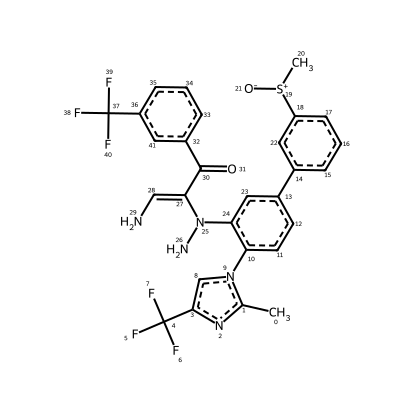 Cc1nc(C(F)(F)F)cn1-c1ccc(-c2cccc([S+](C)[O-])c2)cc1N(N)/C(=C\N)C(=O)c1cccc(C(F)(F)F)c1